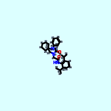 CC(=O)N(CC(=O)Nc1c(C(C)C)cccc1C(C)C)CC1(Nc2ccccc2)CCCCC1